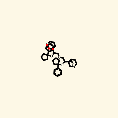 c1ccc(C2(OC(COCC(OC3(c4ccccc4)CCCC3)C3CN4CCC3CC4)C3CN4CCC3CC4)CCCC2)cc1